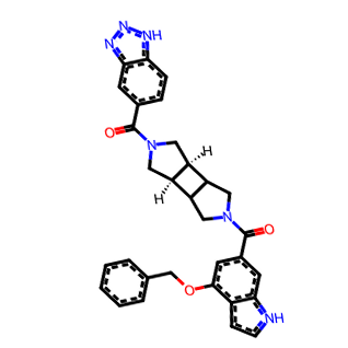 O=C(c1cc(OCc2ccccc2)c2cc[nH]c2c1)N1CC2C(C1)[C@@H]1CN(C(=O)c3ccc4[nH]nnc4c3)C[C@H]21